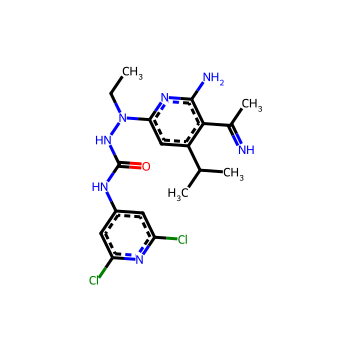 CCN(NC(=O)Nc1cc(Cl)nc(Cl)c1)c1cc(C(C)C)c(C(C)=N)c(N)n1